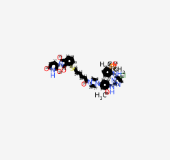 COc1cc(N2CCN(C(=O)CCCCCSc3cccc4c3C(=O)N(C3CCC(=O)NC3=O)C4=O)CC2)ccc1Nc1ncc(Cl)c(Nc2ccccc2P(C)(C)=O)n1